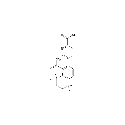 CC1(C)CCC(C)(C)c2c1ccc(-c1ccc(C(=O)O)nc1)c2C(N)=O